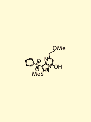 COCCc1cc(O)n2nc(SC)c(S(=O)(=O)c3ccccc3)c2n1